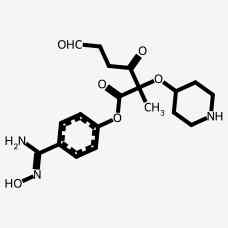 CC(OC1CCNCC1)(C(=O)CCC=O)C(=O)Oc1ccc(C(N)=NO)cc1